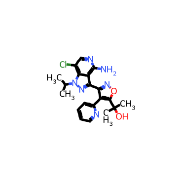 CC(C)n1nc(-c2noc(C(C)(C)O)c2-c2ccccn2)c2c(N)ncc(Cl)c21